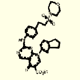 CCOC(=O)c1cn(-c2ccc3c(c2)CCC3)c2nc(Nc3ccc(CCS(=O)(=O)N4CCOCC4)cc3)ncc2c1=O